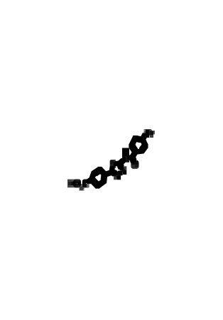 CC(C)c1ccc(C(=O)Nc2nnc(-c3ccc(C(=O)O)cc3)s2)cc1